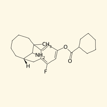 CC12CCCCC[C@@H](Cc3c(F)cc(OC(=O)C4CCCCC4)cc31)C2N